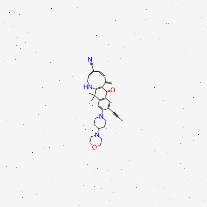 C=C1/C=C\C(C#N)=C/CNC2=C1C(=O)c1cc(C#CC)c(N3CCC(N4CCOCC4)CC3)cc1C2(C)C